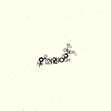 CC(=O)N(C)c1ccc(C2(O)CCC(N3CC[C@H]4[C@@H]3CCN4C(=O)CNC(=O)c3cccc(C(F)(F)F)c3)CC2)nc1